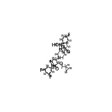 CC1(COc2c(N3CCN(S(=O)(=O)Cc4cc(F)ccc4NO)CC3)cnn(-c3cc(F)cc(F)c3)c2=O)CC1